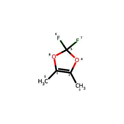 CC1=C(C)OC(F)(F)O1